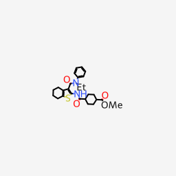 CCN(C(=O)c1c(NC(=O)C2CCC(C(=O)OC)CC2)sc2c1CCCC2)c1ccccc1